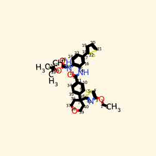 CCOc1csc(C2(c3ccc(C(=O)Nc4cc(-c5cccs5)ccc4NC(=O)OC(C)(C)C)cc3)CCOCC2)n1